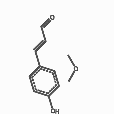 COC.O=CC=Cc1ccc(O)cc1